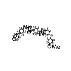 COc1ccc(Cc2ccc3nc(-c4ccc(C(=O)N=[N+]=Nc5ccc(N6CCOCC6)cc5)cc4)[nH]c3c2)cc1